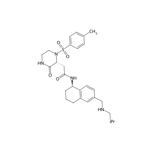 Cc1ccc(S(=O)(=O)N2CCNC(=O)[C@H]2CC(=O)N[C@@H]2CCCc3cc(CNCC(C)C)ccc32)cc1